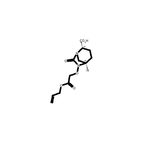 C=CCOC(=O)CON1C(=O)N2C[C@H]1CC[C@H]2C(=O)O